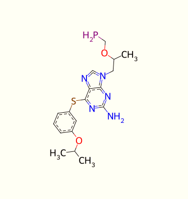 CC(C)Oc1cccc(Sc2nc(N)nc3c2ncn3CC(C)OCP)c1